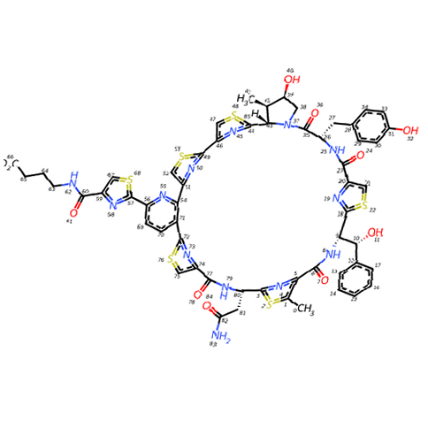 Cc1sc2nc1C(=O)N[C@@H]([C@H](O)c1ccccc1)c1nc(cs1)C(=O)N[C@@H](Cc1ccc(O)cc1)C(=O)N1C[C@H](O)[C@H](C)[C@H]1c1nc(cs1)-c1nc(cs1)-c1nc(-c3nc(C(=O)NCCCC(=O)O)cs3)ccc1-c1nc(cs1)C(=O)N[C@H]2CC(N)=O